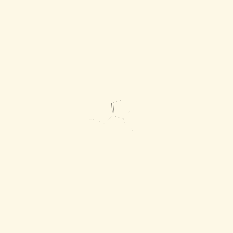 CCC1CC=C(CO)C1C(C)(C)C